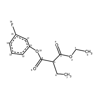 CCOC(=O)C(CC)C(=O)Oc1cccc(F)c1